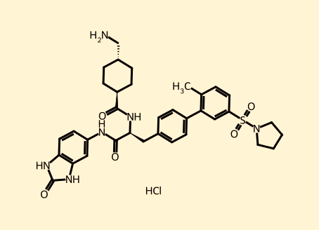 Cc1ccc(S(=O)(=O)N2CCCC2)cc1-c1ccc(C[C@H](NC(=O)[C@H]2CC[C@H](CN)CC2)C(=O)Nc2ccc3[nH]c(=O)[nH]c3c2)cc1.Cl